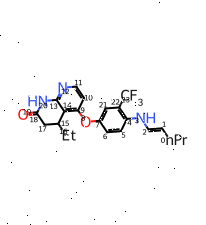 CCC/C=C/Nc1ccc(Oc2ccnc3c2C(CC)CC(=O)N3)cc1C(F)(F)F